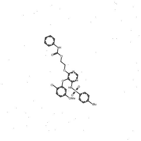 COc1ccc(Cl)c(Oc2c(NS(=O)(=O)c3ccc(C(C)(C)C)cc3)ncnc2OCCOC(=O)Nc2ccccc2)c1